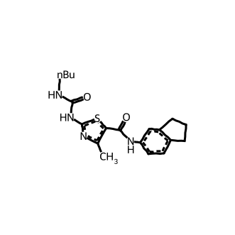 CCCCNC(=O)Nc1nc(C)c(C(=O)Nc2ccc3c(c2)CCC3)s1